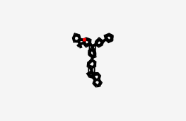 CC1(C)C2=C(C=CCC2)c2ccc(N(c3ccc(C4=CC=C(n5ccc6c5=CCC5C=CC=CC=65)CC4)cc3)c3ccc(-c4ccccc4)cc3)cc21